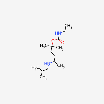 CCNC(=O)OC(C)(C)CCC(C)NCC(C)C